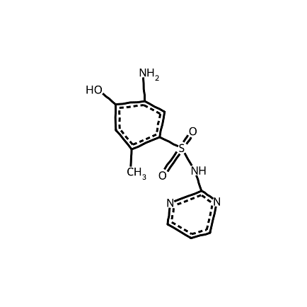 Cc1cc(O)c(N)cc1S(=O)(=O)Nc1ncccn1